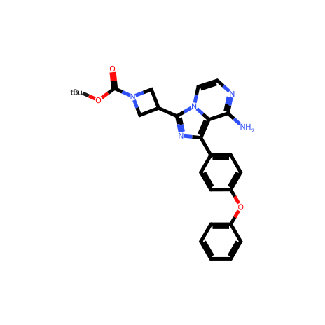 CC(C)(C)OC(=O)N1CC(c2nc(-c3ccc(Oc4ccccc4)cc3)c3c(N)nccn23)C1